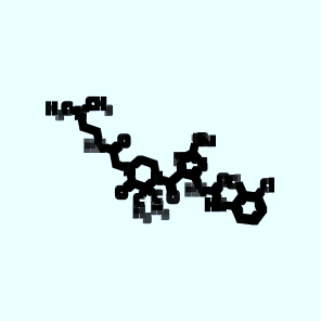 CN(C)CCNC(=O)CN1CCN(C(=O)c2nc(C(C)(C)C)sc2NC(=O)Nc2cccc(Cl)c2Cl)C(C)(C)C1=O